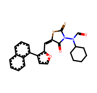 O=CN(C1CCCCC1)N1C(=O)C(=Cc2occc2-c2cccc3ccccc23)SC1=S